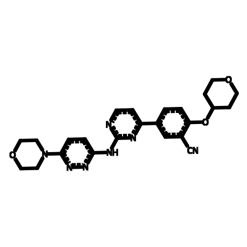 N#Cc1cc(-c2ccnc(Nc3ccc(N4CCOCC4)nn3)n2)ccc1OC1CCOCC1